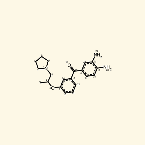 CC(CN1CCCC1)Oc1cccc(C(=O)c2ccc(N)c(N)c2)c1